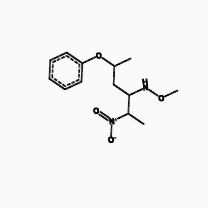 CONC(CC(C)Oc1ccccc1)C(C)[N+](=O)[O-]